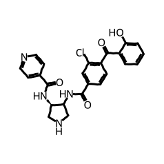 O=C(NC1CNC[C@H]1NC(=O)c1ccncc1)c1ccc(C(=O)c2ccccc2O)c(Cl)c1